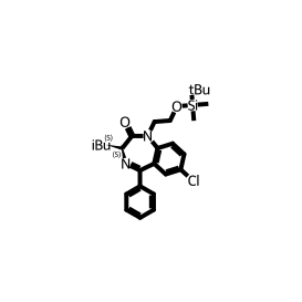 CC[C@H](C)[C@@H]1N=C(c2ccccc2)c2cc(Cl)ccc2N(CCO[Si](C)(C)C(C)(C)C)C1=O